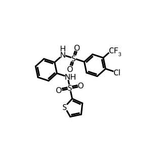 O=S(=O)(Nc1ccccc1NS(=O)(=O)c1cccs1)c1ccc(Cl)c(C(F)(F)F)c1